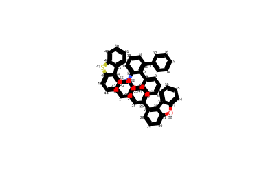 c1ccc(-c2ccccc2-c2c(-c3ccccc3)cccc2N(c2ccc(-c3cccc4oc5ccccc5c34)cc2)c2cccc3sc4ccccc4c23)cc1